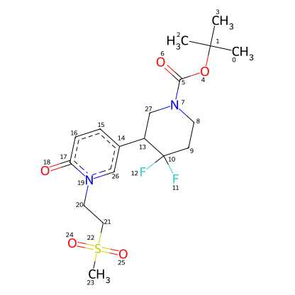 CC(C)(C)OC(=O)N1CCC(F)(F)C(c2ccc(=O)n(CCS(C)(=O)=O)c2)C1